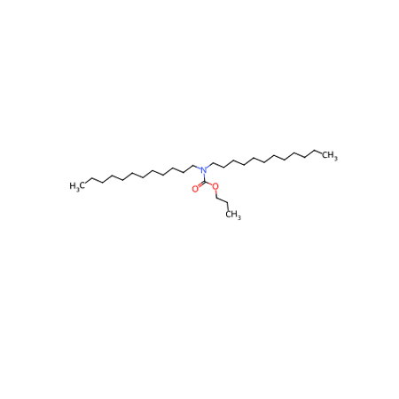 CCCCCCCCCCCCN(CCCCCCCCCCCC)C(=O)OCCC